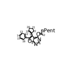 CCCCC[C@@H](C)Oc1ncnc2oc(-c3ccccc3)c(C3=CCCC3)c12